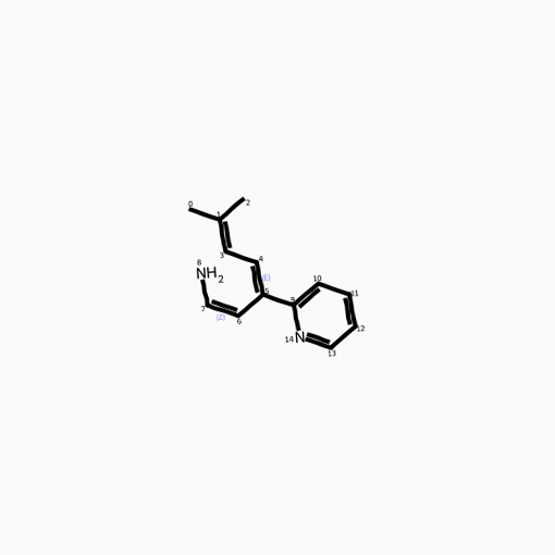 CC(C)=C/C=C(\C=C/N)c1ccccn1